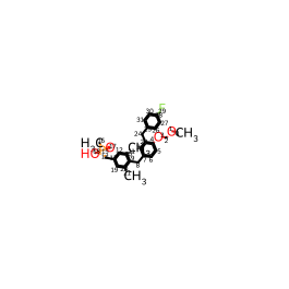 COCOc1ccc(Cc2c(C)cc(CP(C)(=O)O)cc2C)cc1Cc1ccc(F)cc1